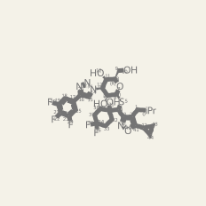 CC(C)Cc1c(C(S[C@@H]2O[C@H](CO)[C@H](O)[C@H](n3cc(-c4cc(F)c(F)c(F)c4)nn3)[C@H]2O)C2(O)CCC(F)(F)CC2)noc1C1CC1